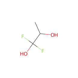 CC(O)C(O)(F)F